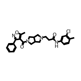 Cc1ccc(NC(=O)CCN2CC3CN(C(=O)c4c(-c5ccccc5)noc4C)CC3C2)cc1Cl